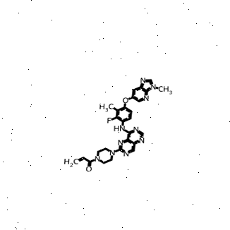 C=CC(=O)N1CCN(c2ncc3ncnc(Nc4ccc(Oc5cnc6c(c5)ncn6C)c(C)c4F)c3n2)CC1